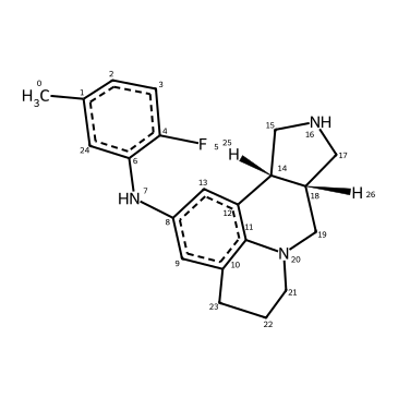 Cc1ccc(F)c(Nc2cc3c4c(c2)[C@@H]2CNC[C@@H]2CN4CCC3)c1